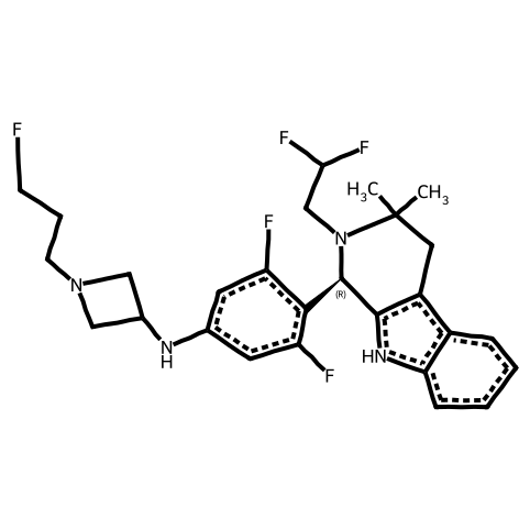 CC1(C)Cc2c([nH]c3ccccc23)[C@@H](c2c(F)cc(NC3CN(CCCF)C3)cc2F)N1CC(F)F